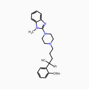 COc1ccccc1C(C#N)(CCCN1CCN(c2nc3ccccc3n2C)CC1)C(C)C